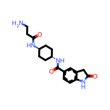 NCCC(=O)N[C@H]1CC[C@H](NC(=O)c2ccc3c(c2)CC(=O)N3)CC1